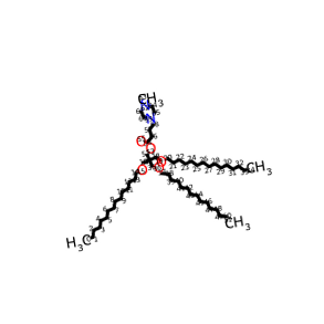 CCCCCCCCCCCCCCCOCC(COCCCCCCCCCCCCCCC)(COCCCCCCCCCCCCCCC)COC(=O)CCCN1CCN(C)CC1